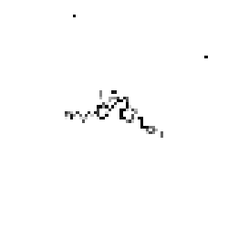 C=CCN1CCc2c(nc(C)n2C2CCN(C(=O)OCC)CC2)C1